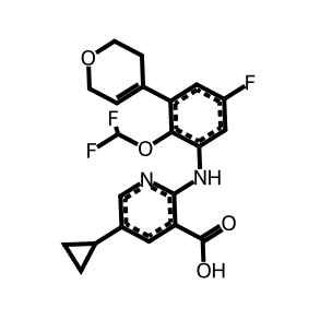 O=C(O)c1cc(C2CC2)cnc1Nc1cc(F)cc(C2=CCOCC2)c1OC(F)F